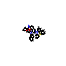 c1ccc(-c2nc3ccc4cc(N(c5ccccc5)c5cccc6c5sc5ccccc56)cc(N(c5ccccc5)c5ccc6ccccc6c5)c4c3o2)cc1